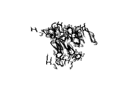 CC(C)(C)c1ccc2oc3c(c2c1)N(c1ccc(-c2ccccc2)cc1)c1cc(N2c4ccccc4C(C)(C)c4ccccc42)ccc1B3c1ccc2c(c1)C(C)(C)CCC2(C)C